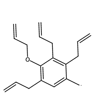 [CH2]c1cc(CC=C)c(OCC=C)c(CC=C)c1CC=C